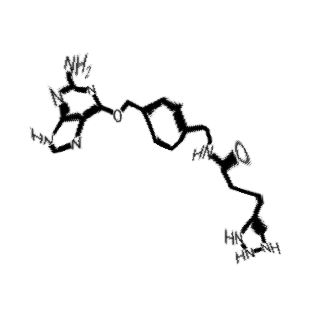 Nc1nc(OCc2ccc(CNC(=O)CCC3=CNNN3)cc2)c2nc[nH]c2n1